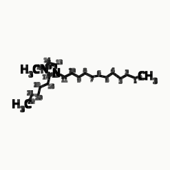 CCCCCCCCCCCCn1cc[n+](C)c1CCCCC